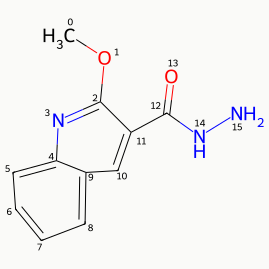 COc1nc2ccccc2cc1C(=O)NN